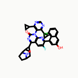 O=c1nc(C2C3CC4CCC(N4)[C@H]32)c2cc(F)c(-c3cc(O)cc4cccc(Cl)c34)nc2n1-c1c(C2CC2)ncnc1C1CC1